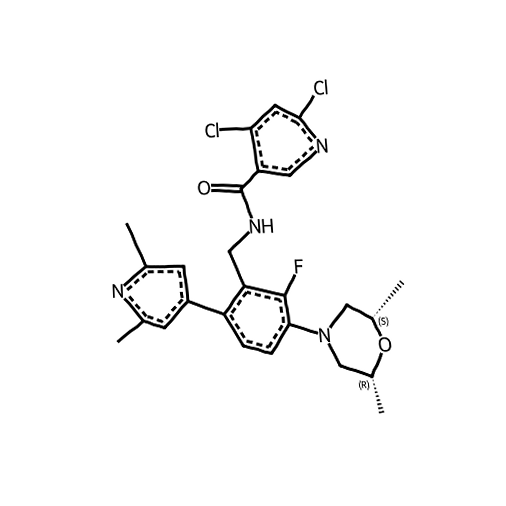 Cc1cc(-c2ccc(N3C[C@@H](C)O[C@@H](C)C3)c(F)c2CNC(=O)c2cnc(Cl)cc2Cl)cc(C)n1